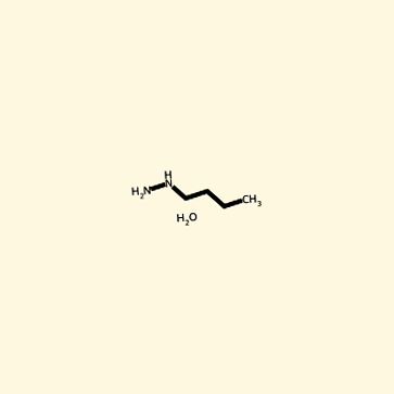 CCCCNN.O